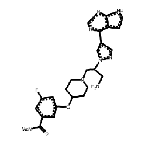 CNC(=O)c1cc(F)cc(OC2CCN(CC(CN)n3cc(-c4ncnc5[nH]ccc45)cn3)CC2)c1